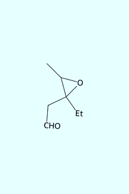 CCC1(CC=O)OC1C